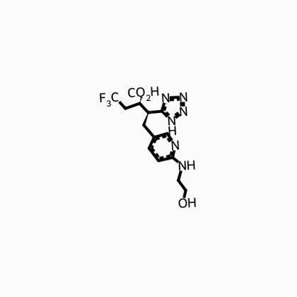 O=C(O)[C@@H](CC(F)(F)F)[C@H](Cc1ccc(NCCO)nc1)c1nnn[nH]1